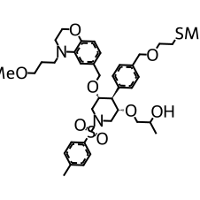 COCCCN1CCOc2ccc(CO[C@H]3CN(S(=O)(=O)c4ccc(C)cc4)C[C@@H](OCC(C)O)[C@@H]3c3ccc(COCCSC)cc3)cc21